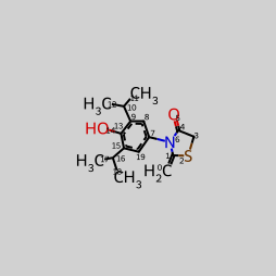 C=C1SCC(=O)N1c1cc(C(C)C)c(O)c(C(C)C)c1